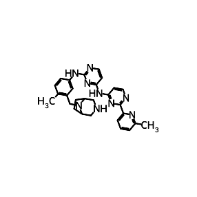 Cc1cccc(-c2nccc(Nc3ccnc(Nc4ccc(C)c(CN5C6CCC5CNC6)c4)n3)n2)n1